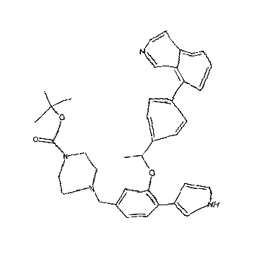 CC(Oc1cc(CN2CCN(C(=O)OC(C)(C)C)CC2)ccc1-c1cc[nH]c1)c1ccc(-c2cccc3ccncc23)cc1